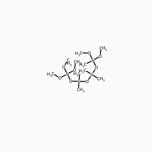 CO[Si](C)(OC)O[Si](C)(C)O[Si](C)(C)O[Si](OC)(OC)OC